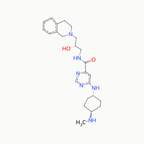 CN[C@H]1CC[C@H](Nc2cc(C(=O)NC[C@H](O)CN3CCc4ccccc4C3)ncn2)CC1